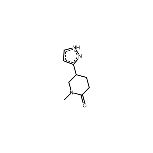 CN1CC(c2cc[nH]n2)CCC1=O